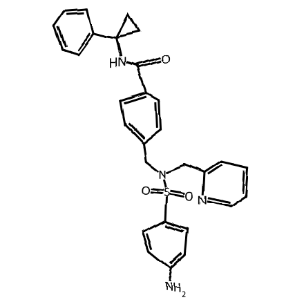 Nc1ccc(S(=O)(=O)N(Cc2ccc(C(=O)NC3(c4ccccc4)CC3)cc2)Cc2ccccn2)cc1